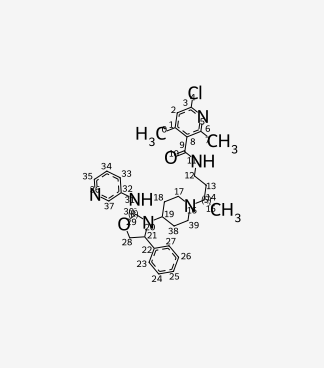 Cc1cc(Cl)nc(C)c1C(=O)NCC[C@H](C)N1CCC(N2C(c3ccccc3)CO[C@@H]2Nc2cccnc2)CC1